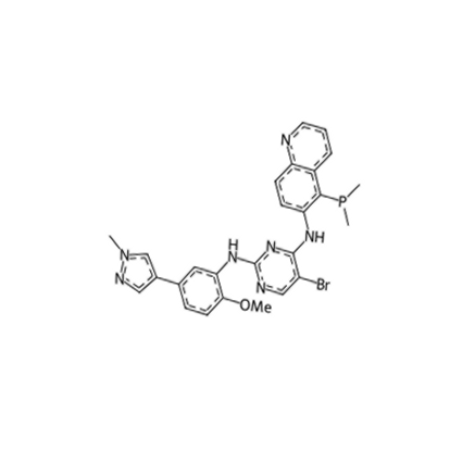 COc1ccc(-c2cnn(C)c2)cc1Nc1ncc(Br)c(Nc2ccc3ncccc3c2P(C)C)n1